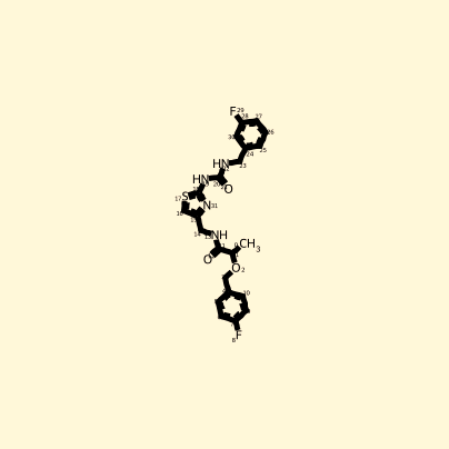 CC(OCc1ccc(F)cc1)C(=O)NCc1csc(NC(=O)NCc2cccc(F)c2)n1